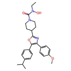 CCN(O)C(=O)N1CCC(c2nc(-c3ccc(OC)cc3)c(-c3ccc(C(C)C)cc3)o2)CC1